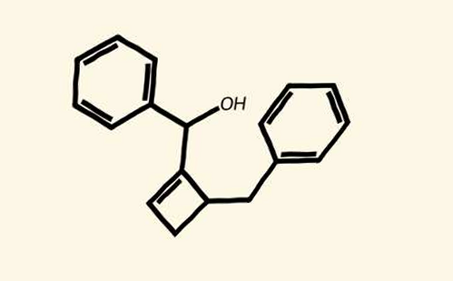 OC(C1=CCC1Cc1ccccc1)c1ccccc1